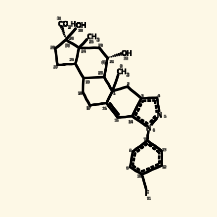 CC12Cc3cnn(-c4ccc(F)cc4)c3C=C1CCC1C2[C@@H](O)CC2(C)C1CC[C@]2(O)C(=O)O